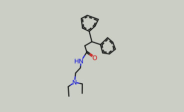 CCN(CC)CCNC(=O)CC(c1ccccc1)c1ccccc1